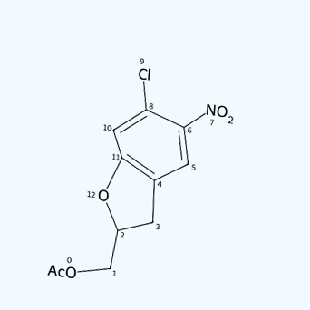 CC(=O)OCC1Cc2cc([N+](=O)[O-])c(Cl)cc2O1